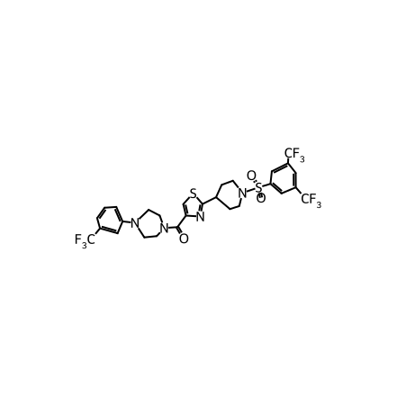 O=C(c1csc(C2CCN(S(=O)(=O)c3cc(C(F)(F)F)cc(C(F)(F)F)c3)CC2)n1)N1CCN(c2cccc(C(F)(F)F)c2)CC1